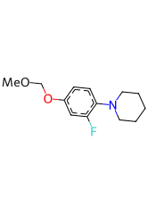 COCOc1ccc(N2CCCCC2)c(F)c1